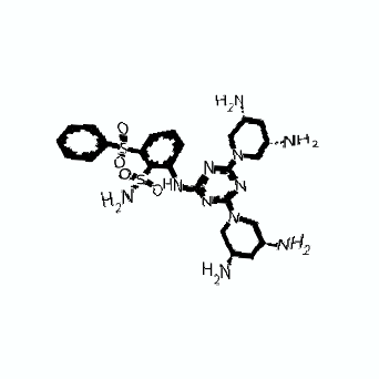 N[C@@H]1C[C@H](N)CN(c2nc(Nc3cccc(S(=O)(=O)c4ccccc4)c3S(N)(=O)=O)nc(N3C[C@H](N)C[C@H](N)C3)n2)C1